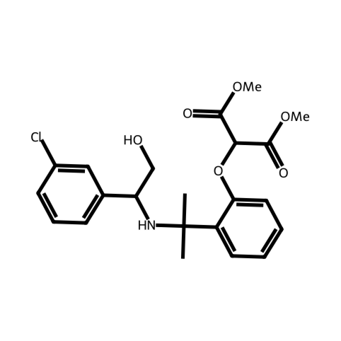 COC(=O)C(Oc1ccccc1C(C)(C)NC(CO)c1cccc(Cl)c1)C(=O)OC